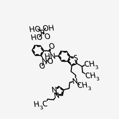 CCCn1cc(CCN(C)CCc2c(C(C)CC)sc3ccc(NC(=O)c4ccccc4[N+](=O)[O-])cc23)cn1.O=P(O)(O)O